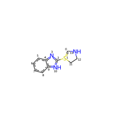 C1=S(c2nc3ccccc3[nH]2)CCN1